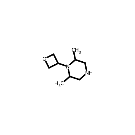 CC1CNCC(C)N1C1COC1